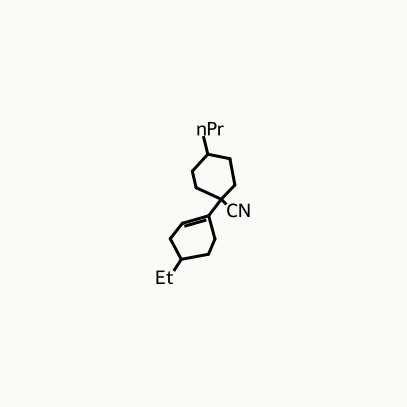 CCCC1CCC(C#N)(C2=CCC(CC)CC2)CC1